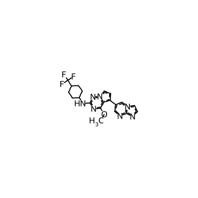 COc1nc(NC2CCC(C(F)(F)F)CC2)nn2ccc(-c3cnc4nccn4c3)c12